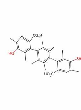 Cc1cc(C(=O)O)c(-c2c(C)c(C)c(-c3c(C(=O)O)cc(C)c(O)c3C)c(C)c2C)c(C)c1O